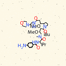 CC[C@H](C)[C@@H]([C@@H](CC(=O)N1CCCC1[C@H](OC)[C@@H](C)C(=O)NCCN1CCOCC1)OC)N(C)C(=O)C(NC(=O)c1ccc(N)cc1)C(C)C